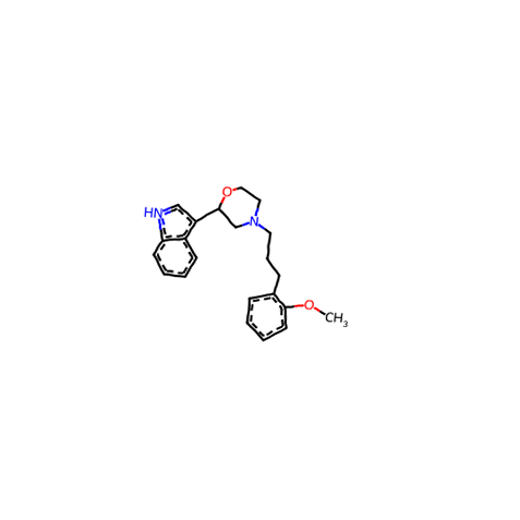 COc1ccccc1CCCN1CCOC(c2c[nH]c3ccccc23)C1